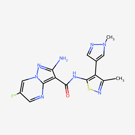 Cc1nsc(NC(=O)c2c(N)nn3cc(F)cnc23)c1-c1cnn(C)c1